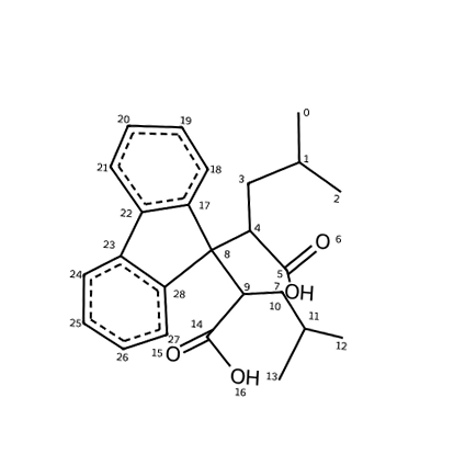 CC(C)CC(C(=O)O)C1(C(CC(C)C)C(=O)O)c2ccccc2-c2ccccc21